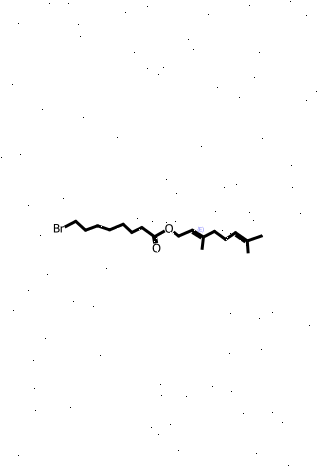 CC(C)=CCC/C(C)=C/COC(=O)CCCCCCCBr